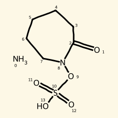 N.O=C1CCCCCN1OS(=O)(=O)O